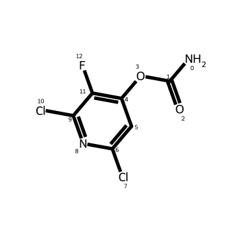 NC(=O)Oc1cc(Cl)nc(Cl)c1F